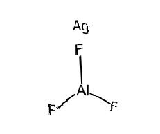 [Ag].[F][Al]([F])[F]